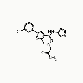 NC(=O)CN1Cc2sc(-c3cccc(Cl)c3)cc2C(Nc2ccsc2)=N1